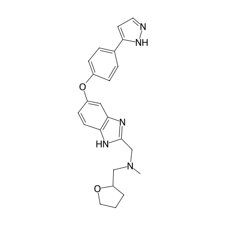 CN(Cc1nc2cc(Oc3ccc(-c4ccn[nH]4)cc3)ccc2[nH]1)CC1CCCO1